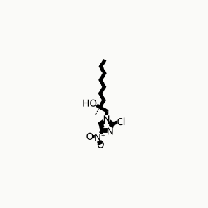 CCCCCCC[C@](C)(O)Cn1cc([N+](=O)[O-])nc1Cl